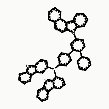 c1ccc(-c2ccc(-n3c4ccccc4c4c5ccccc5ccc43)cc2-c2ccc(N(c3ccc4oc5ccccc5c4c3)c3cccc4c3sc3ccccc34)cc2)cc1